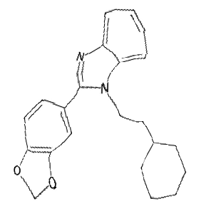 c1ccc2c(c1)nc(-c1ccc3c(c1)OCO3)n2CCC1CCCCC1